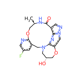 C[C@@H]1COc2ncc(F)cc2CN2C[C@@H](O)COc3cn4ncc(c4nc32)C(=O)N1